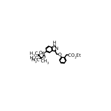 CCOC(=O)Cc1ccccc1OCc1n[nH]c2ccc(B3OC(C)(C)C(C)(C)O3)cc12